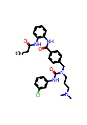 CN(C)CCCN(Cc1ccc(C(=O)Nc2ccccc2NC(=O)CC(C)(C)C)cc1)C(=O)Nc1cccc(Cl)c1